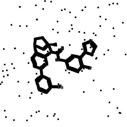 O=C(Nc1ccc(Br)c(-c2cnco2)c1)N1c2nc(-c3cccc(C(F)(F)F)c3)ccc2N2CC[C@H]1C2